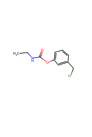 CCNC(=O)Oc1cccc(CCl)c1